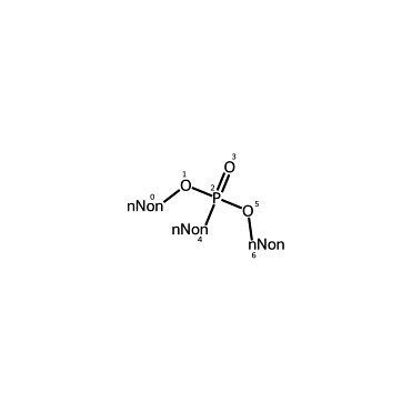 CCCCCCCCCOP(=O)(CCCCCCCCC)OCCCCCCCCC